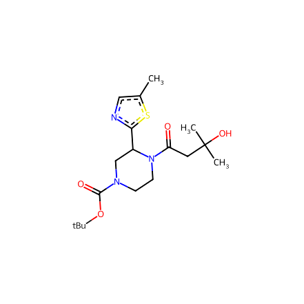 Cc1cnc(C2CN(C(=O)OC(C)(C)C)CCN2C(=O)CC(C)(C)O)s1